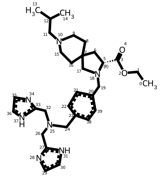 CCOC(=O)[C@H]1CC2(CCN(CC(C)C)CC2)CN1Cc1ccc(CN(Cc2ncc[nH]2)Cc2ncc[nH]2)cc1